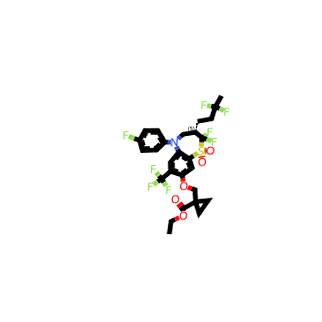 CCOC(=O)C1(COc2cc3c(cc2C(F)(F)F)N(c2ccc(F)cc2)C[C@H](CCC(C)(F)F)C(F)(F)S3(=O)=O)CC1